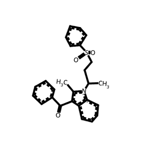 Cc1c(C(=O)c2ccccc2)c2ccccc2n1C(C)CCS(=O)(=O)c1ccccc1